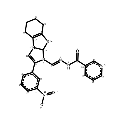 O=C(NN=CN1C(c2cccc([N+](=O)[O-])c2)=CN2C3=C(CCCC3)SC12)c1cccnc1